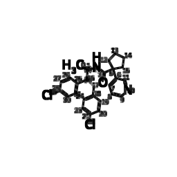 C[C@@H](NC(=O)C1(c2cccnc2)CCCC1)[C@H](Cc1ccc(Cl)cc1)c1ccc(Cl)cc1